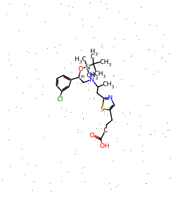 CC(Cc1ncc(CCCC(=O)O)s1)NC[C@H](O[Si](C)(C)C(C)(C)C)c1cccc(Cl)c1